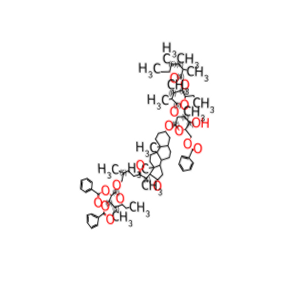 CCC1O[C@@H](O[C@@H]2C(CC)O[C@@H](OC3[C@H](OC4CCC5(C)C(CCC6C5CCC5(C)C6CC(=O)C5[C@H](C)C(=O)CC[C@H](C)CO[C@@H]5OC(CC)[C@H](C)[C@H](OC(=O)c6ccccc6)C5OC(=O)c5ccccc5)C4)OC(COC(=O)c4ccccc4)[C@H](O)[C@@H]3C)C(C)[C@H]2C)C(C)[C@@H](C)[C@@H]1C